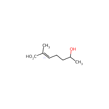 C/C(=C\CCC(C)O)C(=O)O